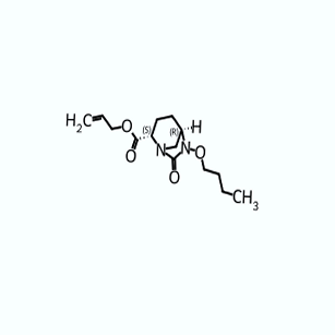 C=CCOC(=O)[C@@H]1CC[C@@H]2CN1C(=O)N2OCCCC